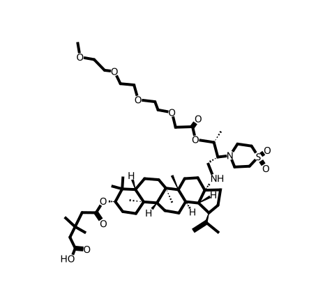 C=C(C)[C@@H]1CC[C@]2(NC[C@H]([C@@H](C)OC(=O)COCCOCCOCCOC)N3CCS(=O)(=O)CC3)CC[C@]3(C)[C@H](CC[C@@H]4[C@@]5(C)CC[C@H](OC(=O)CC(C)(C)CC(=O)O)C(C)(C)[C@@H]5CC[C@]43C)[C@@H]12